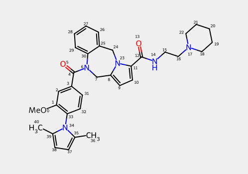 COc1cc(C(=O)N2Cc3ccc(C(=O)NCCN4CCCCC4)n3Cc3ccccc32)ccc1-n1c(C)ccc1C